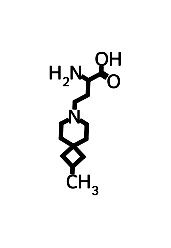 CC1CC2(CCN(CCC(N)C(=O)O)CC2)C1